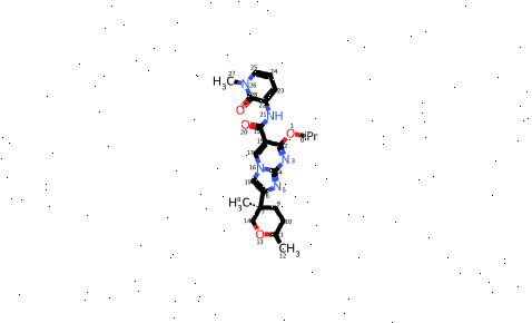 CC(C)Oc1nc2nc([C@@]3(C)CCC(C)OC3)cn2cc1C(=O)Nc1cccn(C)c1=O